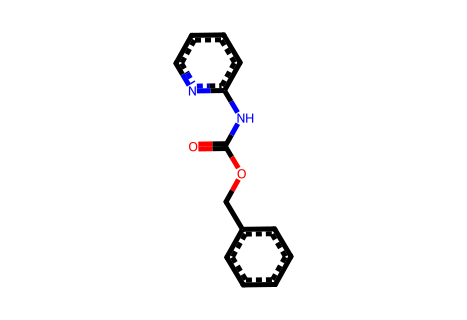 O=C(Nc1ccccn1)OCc1ccccc1